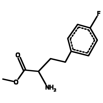 COC(=O)C(N)CCc1ccc(F)cc1